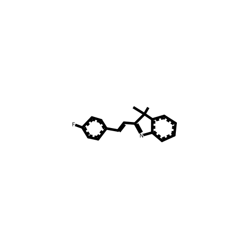 CC1(C)C(C=Cc2ccc(F)cc2)=Nc2ccccc21